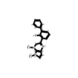 CCN1CC(c2cccc(-c3ccccc3)c2F)=Nc2ccn(CC)c21